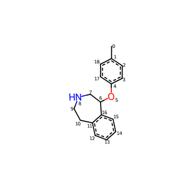 Cc1ccc(OC2CNCCc3ccccc32)cc1